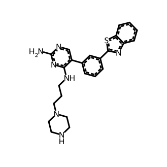 Nc1ncc(-c2cccc(-c3nc4ccccc4s3)c2)c(NCCCN2CCNCC2)n1